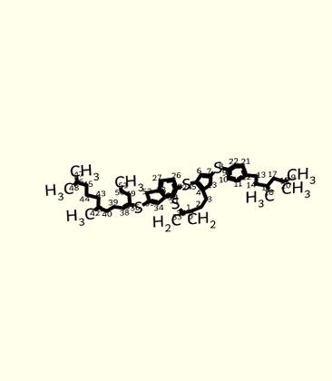 C=C1CCC2=C(C=C(Sc3ccc(CCC(C)CC(C)C)cc3)C2)Sc2ccc3c(c2SC1=C)C=C(S/C(=C/CCC(C)CCCC(C)C)CCC)C3